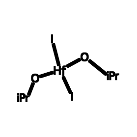 CC(C)[O][Hf]([I])([I])[O]C(C)C